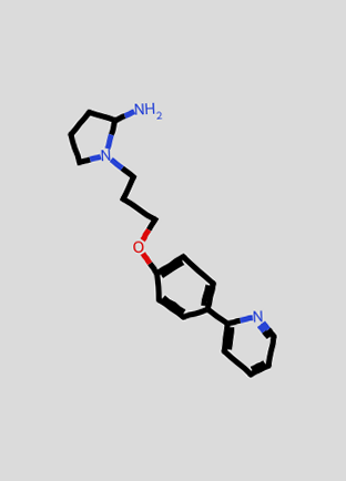 NC1CCCN1CCCOc1ccc(-c2ccccn2)cc1